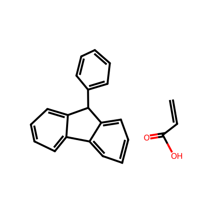 C=CC(=O)O.c1ccc(C2c3ccccc3-c3ccccc32)cc1